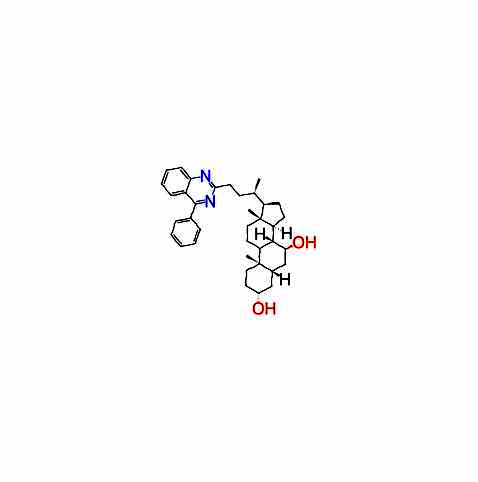 C[C@H](CCc1nc(-c2ccccc2)c2ccccc2n1)[C@H]1CC[C@H]2[C@H]3C(CC[C@]12C)[C@@]1(C)CC[C@@H](O)C[C@H]1C[C@@H]3O